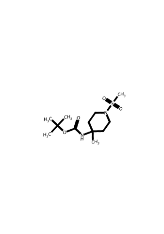 CC1(NC(=O)OC(C)(C)C)CCN(S(C)(=O)=O)CC1